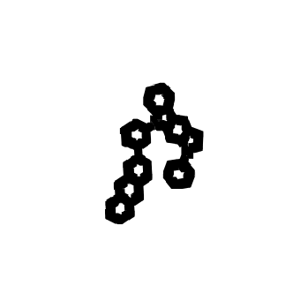 c1ccc(-n2ccc3cc4c5ccccc5n(-c5cccc(-c6ccc7cc8ccccc8cc7c6)c5)c4cc32)cc1